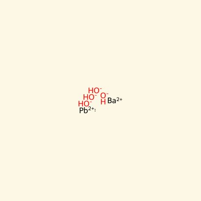 [Ba+2].[OH-].[OH-].[OH-].[OH-].[Pb+2]